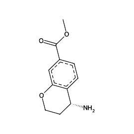 COC(=O)c1ccc2c(c1)OCC[C@H]2N